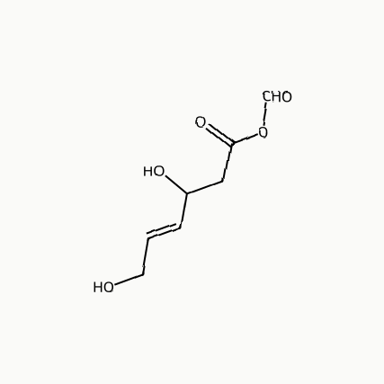 O=COC(=O)CC(O)C=CCO